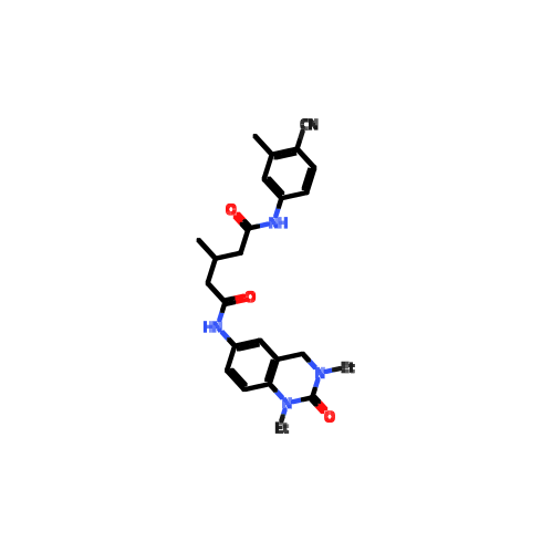 CCN1Cc2cc(NC(=O)CC(C)CC(=O)Nc3ccc(C#N)c(C)c3)ccc2N(CC)C1=O